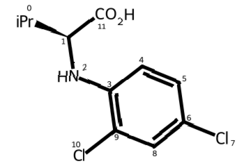 CC(C)[C@H](Nc1ccc(Cl)cc1Cl)C(=O)O